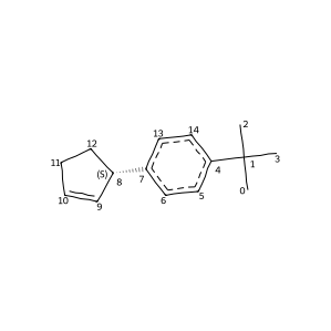 CC(C)(C)c1ccc([C@@H]2C=CCC2)cc1